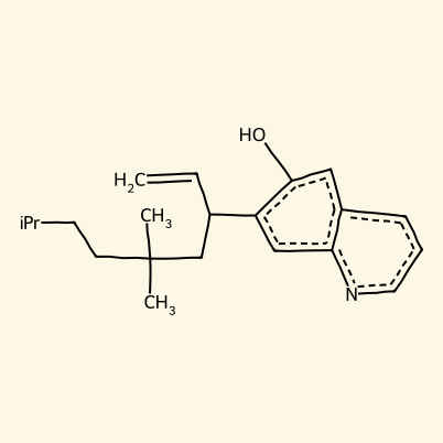 C=CC(CC(C)(C)CCC(C)C)c1cc2ncccc2cc1O